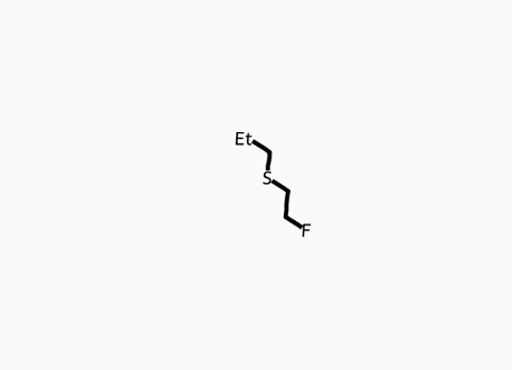 CCCSCCF